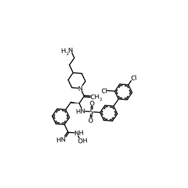 C=C([C@H](Cc1cccc(C(=N)NO)c1)NS(=O)(=O)c1cccc(-c2ccc(Cl)cc2Cl)c1)N1CCC(CCN)CC1